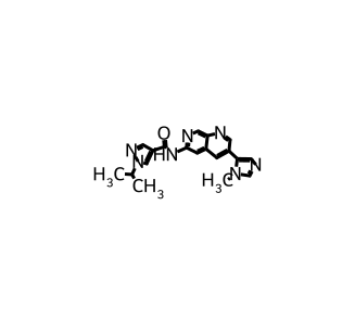 CC(C)n1cc(C(=O)Nc2cc3cc(-c4cncn4C)cnc3cn2)cn1